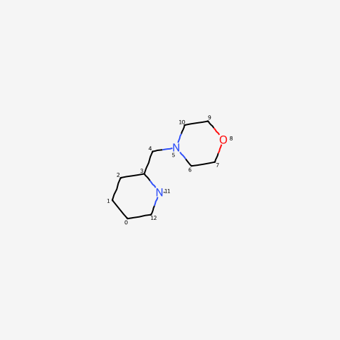 C1CCC(CN2CCOCC2)[N]C1